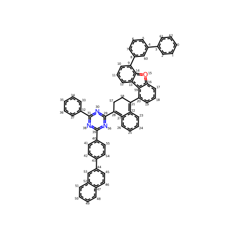 c1ccc(-c2cccc(-c3cccc4c3oc3cccc(C5=c6ccccc6=C(c6nc(-c7ccccc7)nc(-c7ccc(-c8ccc9ccccc9c8)cc7)n6)CC5)c34)c2)cc1